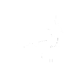 CCOP(=O)(Cc1csc2ccc(Cl)cc12)OCC